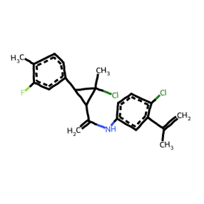 C=C(C)c1cc(NC(=C)C2C(c3ccc(C)c(F)c3)C2(C)Cl)ccc1Cl